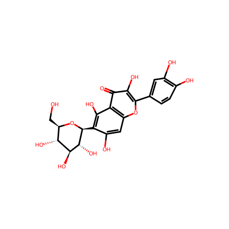 O=c1c(O)c(-c2ccc(O)c(O)c2)oc2cc(O)c([C@@H]3O[C@H](CO)[C@@H](O)[C@H](O)[C@H]3O)c(O)c12